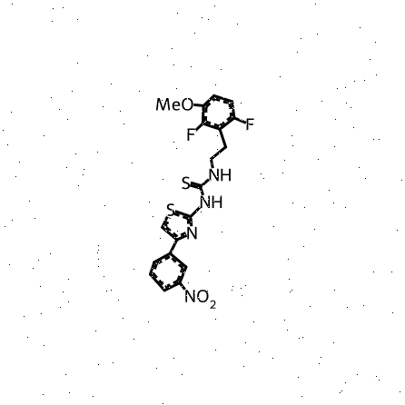 COc1ccc(F)c(CCNC(=S)Nc2nc(-c3cccc([N+](=O)[O-])c3)cs2)c1F